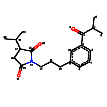 CC(C)C(=O)c1cccc(CCCN2C(=O)CC(C(C)C)C2=O)c1